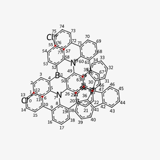 Clc1ccc2c(c1)N(c1c(-c3ccccc3)cccc1-c1ccccc1)c1cc(C3(c4ccccc4)c4ccccc4-c4ccccc43)cc3c1B2c1ccc(Cl)cc1N3c1c(-c2ccccc2)cccc1-c1ccccc1